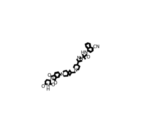 CC(C)(C(=O)Nc1ccc(C#N)c2ccccc12)n1cc(C2CCN(CC3CC4(CCN(c5ccc6c(c5)C(=O)N(C5CCC(=O)NC5=O)C6=O)CC4)C3)CC2)cn1